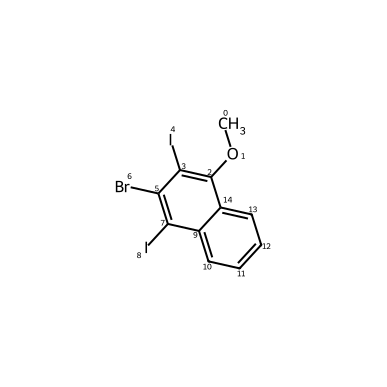 COc1c(I)c(Br)c(I)c2ccccc12